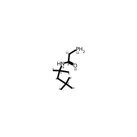 CC(C)(C)CC(C)(C)NC(=O)CP